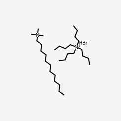 Br.CCCCCCCCCCCC[N+](C)(C)C.CCCC[N+](CCCC)(CCCC)CCCC